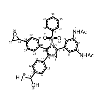 CC(=O)Nc1cc(NC(C)=O)cc(-c2nc(-c3ccc(C(C)O)cc3)c(-c3ccc(C4CO4)cc3)n2S(=O)(=O)c2ccccc2)c1